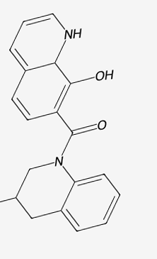 CC1Cc2ccccc2N(C(=O)C2=C(O)C3NC=CC=C3C=C2)C1